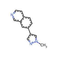 Cn1cc(-c2ccc3ccncc3c2)cn1